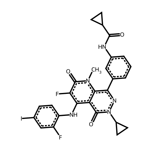 Cn1c(=O)c(F)c(Nc2ccc(I)cc2F)c2c(=O)n(C3CC3)nc(-c3cccc(NC(=O)C4CC4)c3)c21